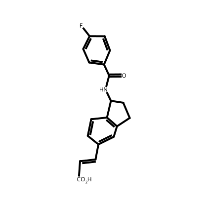 O=C(O)/C=C/c1ccc2c(c1)CCC2NC(=O)c1ccc(F)cc1